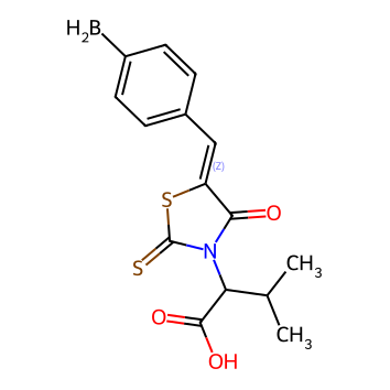 Bc1ccc(/C=C2\SC(=S)N(C(C(=O)O)C(C)C)C2=O)cc1